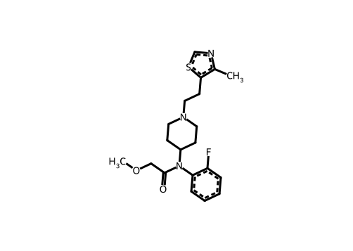 COCC(=O)N(c1ccccc1F)C1CCN(CCc2scnc2C)CC1